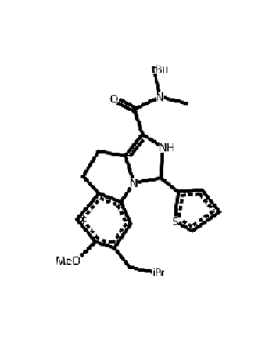 COc1cc2c(cc1CC(C)C)N1C(=C(C(=O)N(C)C(C)(C)C)NC1c1cccs1)CC2